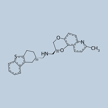 Cc1ccc2c3c(ccc2n1)OC[C@H](CNC[C@H]1CCc2sc4ccccc4c2C1)O3